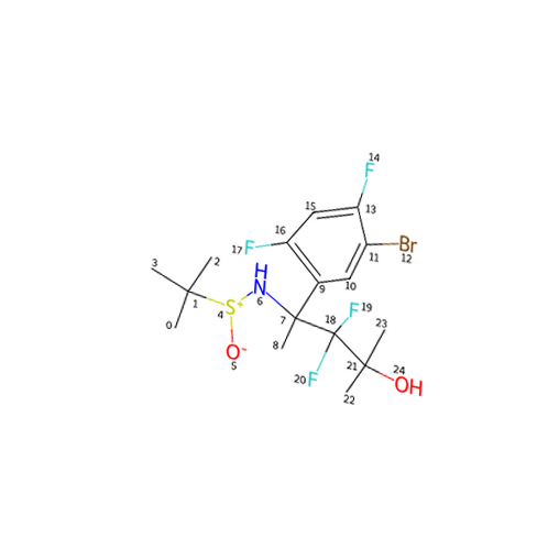 CC(C)(C)[S+]([O-])NC(C)(c1cc(Br)c(F)cc1F)C(F)(F)C(C)(C)O